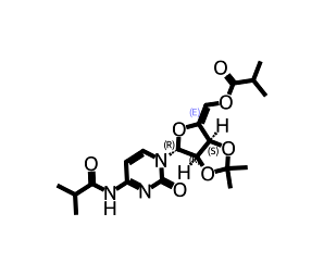 CC(C)C(=O)Nc1ccn([C@@H]2O/C(=C/OC(=O)C(C)C)[C@H]3OC(C)(C)O[C@H]32)c(=O)n1